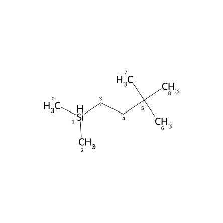 C[SiH](C)[CH]CC(C)(C)C